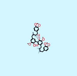 COc1cc(C[C@@H](C)[C@@H](C)Cc2ccc3c(c2)OCO3)cc(-c2cc(C[C@@H](C)[C@@H](C)Cc3ccc4c(c3)OCO4)cc(OC)c2O)c1O